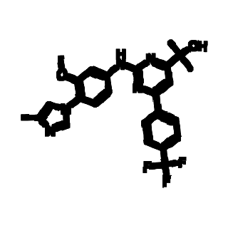 COc1cc(Nc2nc(-c3ccc(C(F)(F)F)cc3)cc(C(C)(C)O)n2)ccc1-n1cnc(C)c1